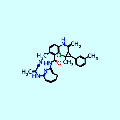 C=C(C#N)N/C1=N/C(NC(=O)c2cc(NC(=C)C3C(c4cccc(C)c4)C3(C)Cl)ccc2C)=C/CC=C=C1